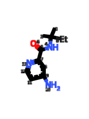 CCC(C)(C)NC(=O)c1cc(N)ccn1